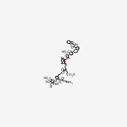 Cc1c(-c2ccc(N3CCc4cccc(C(=O)Nc5nc6ccccc6s5)c4C3)nc2C(=O)O)cnn1CC12CC3(C)CC(C)(C1)CC(OCCN(CCC(=O)O)C(=O)OCC=Cc1ccc(O[C@@H]4O[C@H](C(=O)O)[C@@H](O)[C@H](O)[C@H]4O)c(NC(=O)CCN)c1)(C3)C2